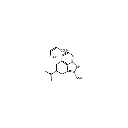 CSc1[nH]c2cccc3c2c1CC(N(C)C)C3.O=C(O)/C=C\C(=O)O